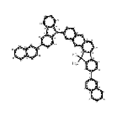 CC1(C)c2cc(-c3ccc4ccccc4c3)ccc2-c2ccc3cc4ccc(-n5c6ccccc6c6cc(-c7ccc8ccccc8c7)ccc65)cc4cc3c21